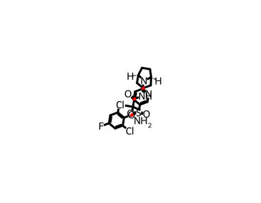 CC(C)(Oc1c(Cl)cc(F)cc1Cl)C(=O)N[C@H]1C[C@H]2CC[C@@H](C1)N2c1ccc(S(N)(=O)=O)cn1